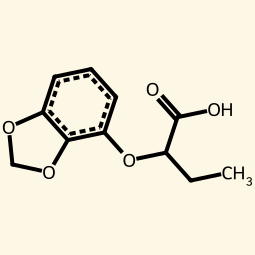 CCC(Oc1cccc2c1OCO2)C(=O)O